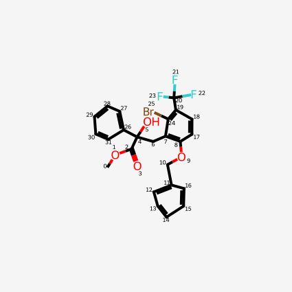 COC(=O)C(O)(Cc1c(OCc2ccccc2)ccc(C(F)(F)F)c1Br)c1ccccc1